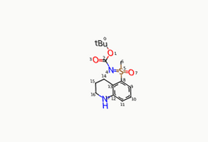 CC(C)(C)OC(=O)N=S(C)(=O)c1cccc2c1CCCN2